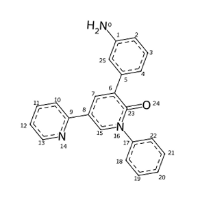 Nc1cccc(-c2cc(-c3ccccn3)cn(-c3ccccc3)c2=O)c1